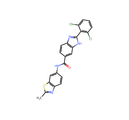 Cc1nc2ccc(NC(=O)c3ccc4nc(-c5c(Cl)cccc5Cl)[nH]c4c3)cc2s1